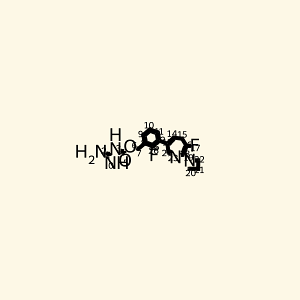 N=C(N)NC(=O)OCc1cccc(C2=CCC(F)=C(N3CCC3)N=C2)c1F